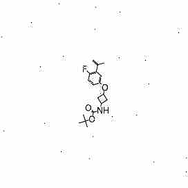 C=C(C)c1cc(OC2CC(NC(=O)OC(C)(C)C)C2)ccc1F